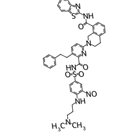 CN(C)CCCNc1ccc(S(=O)(=O)NC(=O)c2nc(N3CCc4cccc(C(=O)Nc5nc6ccccc6s5)c4C3)ccc2CCc2ccccc2)cc1N=O